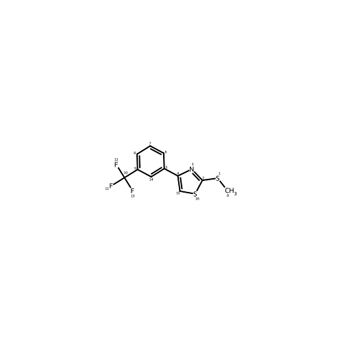 CSc1nc(-c2cccc(C(F)(F)F)c2)cs1